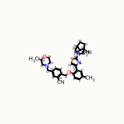 Cc1ccc(OCc2ccc(CN3CCO[C@H](C)C3)cc2C#N)c(-c2csc(N3CC4CC[C@H](C3)[C@@H]4C(=O)O)n2)c1